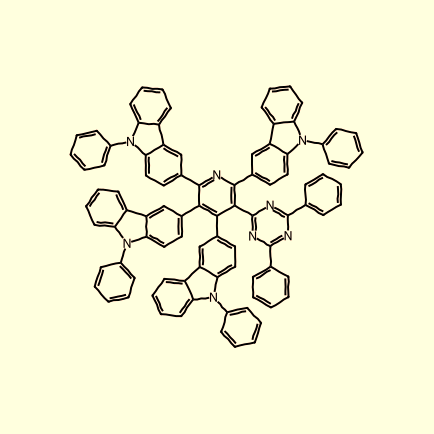 c1ccc(-c2nc(-c3ccccc3)nc(-c3c(-c4ccc5c(c4)c4ccccc4n5-c4ccccc4)nc(-c4ccc5c(c4)c4ccccc4n5-c4ccccc4)c(-c4ccc5c(c4)c4ccccc4n5-c4ccccc4)c3-c3ccc4c(c3)c3ccccc3n4-c3ccccc3)n2)cc1